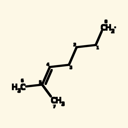 [CH2]CCCC=C(C)C